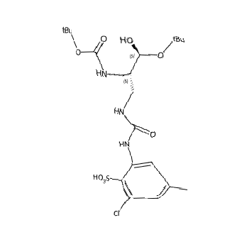 Cc1cc(Cl)c(S(=O)(=O)O)c(NC(=O)NC[C@H](NC(=O)OC(C)(C)C)[C@@H](O)OC(C)(C)C)c1